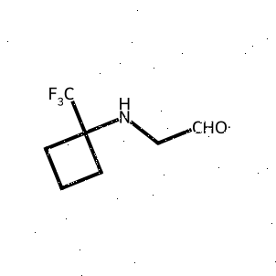 O=[C]CNC1(C(F)(F)F)CCC1